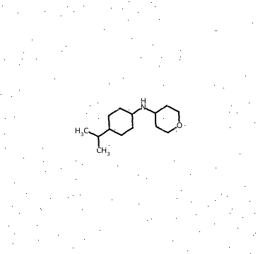 CC(C)C1CCC(NC2CCOCC2)CC1